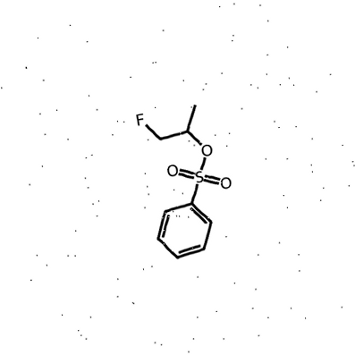 CC(CF)OS(=O)(=O)c1ccccc1